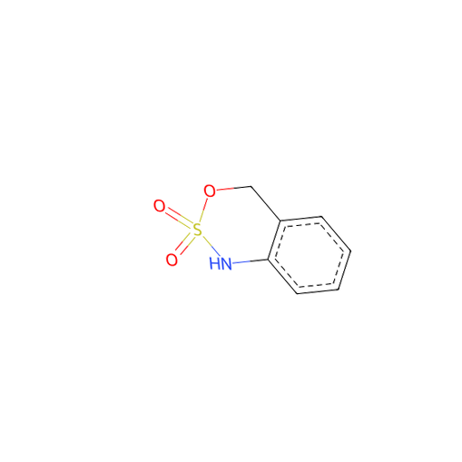 O=S1(=O)Nc2ccccc2CO1